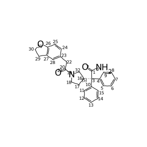 NC(=O)C(c1ccccc1)(c1ccccc1)[C@@H]1CCN(C(=O)Cc2ccc3c(c2)CCO3)C1